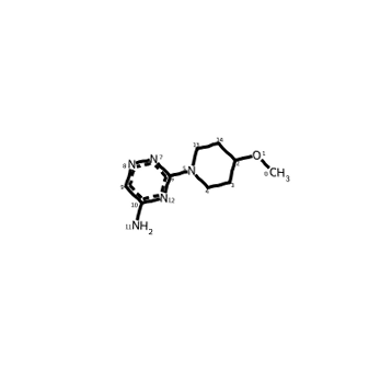 COC1CCN(c2nncc(N)n2)CC1